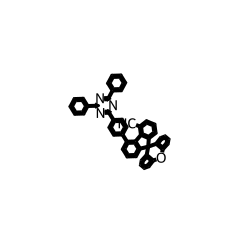 N#Cc1cccc2c1-c1c(-c3ccc(-c4nc(-c5ccccc5)nc(-c5ccccc5)n4)cc3)cccc1C21c2ccccc2Oc2ccccc21